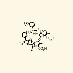 CC1=C(C(=O)O)N2C(=O)[C@@H](NC(=O)[C@H](N)c3ccccc3)[C@H]2SC1.CC1=C(C(=O)O)N2C(=O)[C@@H](NC(=O)[C@H](N)c3ccccc3)[C@H]2SC1.O